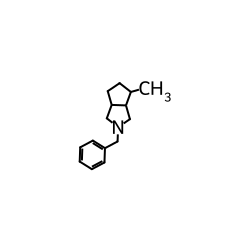 CC1CCC2CN(Cc3ccccc3)CC12